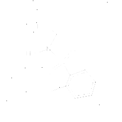 CCN(C)S(=O)(=O)c1ccccc1Cl